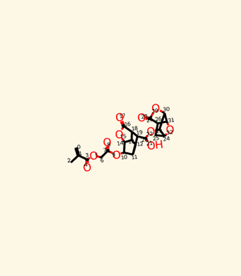 C=C(C)C(=O)OCC(=O)OC1C2CC3C1OC(=O)C3C2C(O)OC1C2CC3C(=O)OC1C3O2